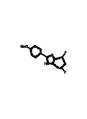 COc1ccc(-c2nc3c(F)cc(F)cc3[nH]2)cc1